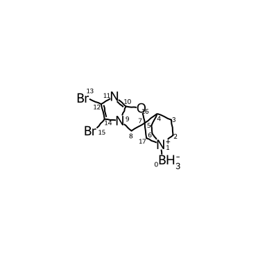 [BH3-][N+]12CCC(CC1)C1(Cn3c(nc(Br)c3Br)O1)C2